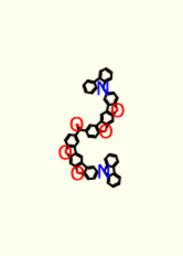 O=C(c1ccc2oc3cc4oc5ccc(-n6c7ccccc7c7ccccc76)cc5c4cc3c2c1)c1ccc2oc3cc4oc5ccc(-n6c7ccccc7c7ccccc76)cc5c4cc3c2c1